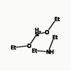 CCNCC.CCO[SiH2]OCC